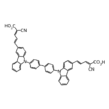 N#C/C(=C\C=C\c1ccc2c(c1)c1ccccc1n2-c1ccc(-c2ccc(-n3c4ccccc4c4cc(/C=C/C=C(\C#N)C(=O)O)ccc43)cc2)cc1)C(=O)O